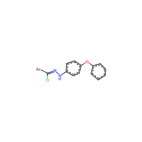 CC(=O)C(Cl)=NNc1ccc(Oc2ccccc2)cc1